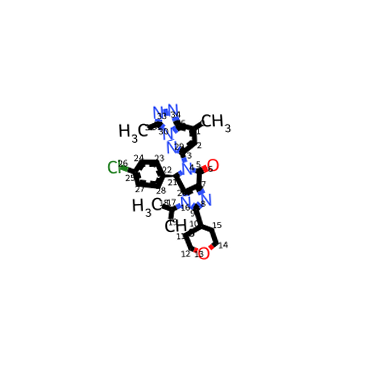 Cc1cc(N2C(=O)c3nc(C4CCOCC4)n(C(C)C)c3[C@H]2c2ccc(Cl)cc2)nn2c(C)nnc12